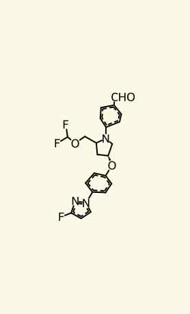 O=Cc1ccc(N2C[C@@H](Oc3ccc(-n4ccc(F)n4)cc3)CC2COC(F)F)cc1